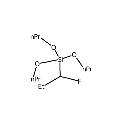 CCCO[Si](OCCC)(OCCC)C(F)CC